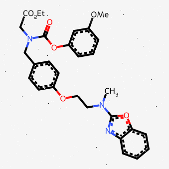 CCOC(=O)CN(Cc1ccc(OCCN(C)c2nc3ccccc3o2)cc1)C(=O)Oc1cccc(OC)c1